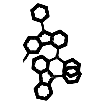 Fc1ccc2c(c1)c1c(N(c3ccccc3)c3cccc4c5ccccc5n(-c5ccccc5)c34)cccc1n2-c1ccccc1